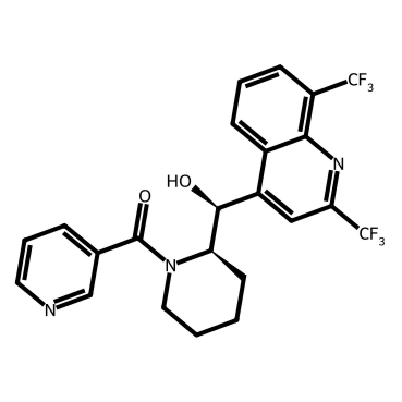 O=C(c1cccnc1)N1CCCC[C@@H]1[C@@H](O)c1cc(C(F)(F)F)nc2c(C(F)(F)F)cccc12